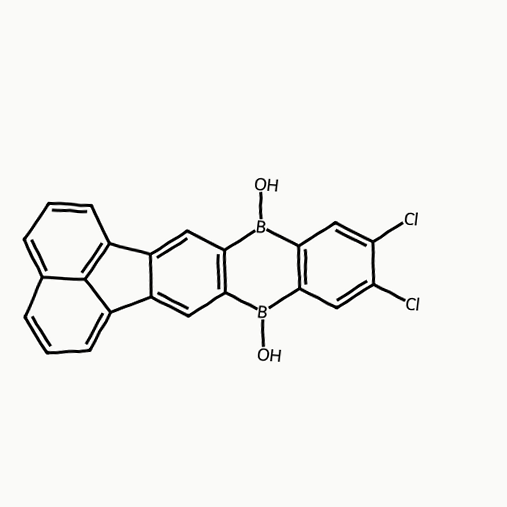 OB1c2cc(Cl)c(Cl)cc2B(O)c2cc3c(cc21)-c1cccc2cccc-3c12